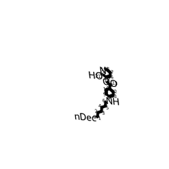 CCCCCCCCCCCCCCCCNc1ccc(C(=O)Oc2cccnc2O)cc1